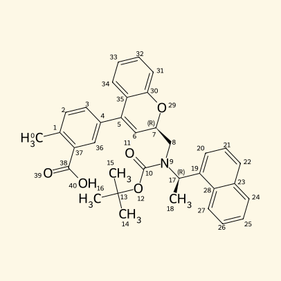 Cc1ccc(C2=C[C@H](CN(C(=O)OC(C)(C)C)[C@H](C)c3cccc4ccccc34)Oc3ccccc32)cc1C(=O)O